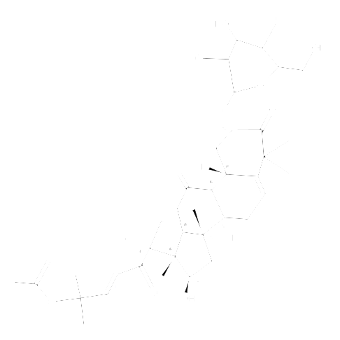 CC(=O)OC(C)(C)/C=C/C(=O)[C@@]1(O)C[C@]23CC(=O)[C@@]4(C)[C@@H]5C[C@H](OC6OC(CO)C(O)C(O)C6O)C(=O)C(C)(C)C5=CC[C@H]4[C@]2(C)C[C@@H](O)[C@@H]31